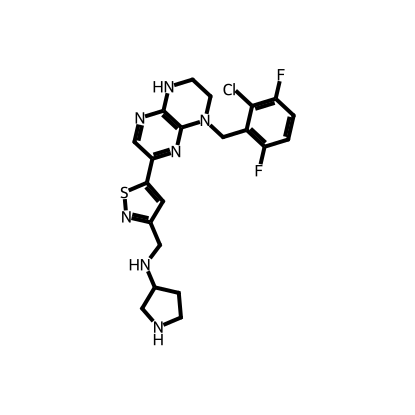 Fc1ccc(F)c(CN2CCNc3ncc(-c4cc(CNC5CCNC5)ns4)nc32)c1Cl